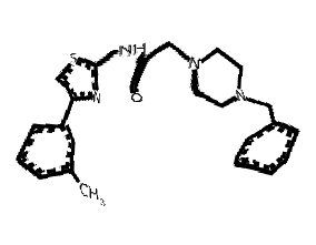 Cc1cccc(-c2csc(NC(=O)CN3CCN(Cc4ccccc4)CC3)n2)c1